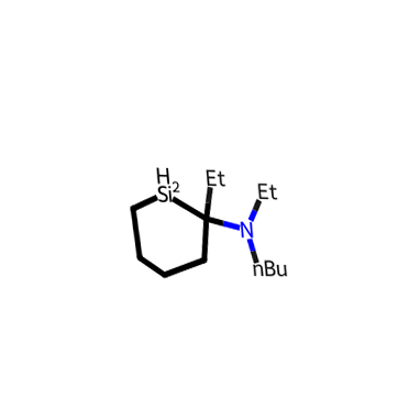 CCCCN(CC)C1(CC)CCCC[SiH2]1